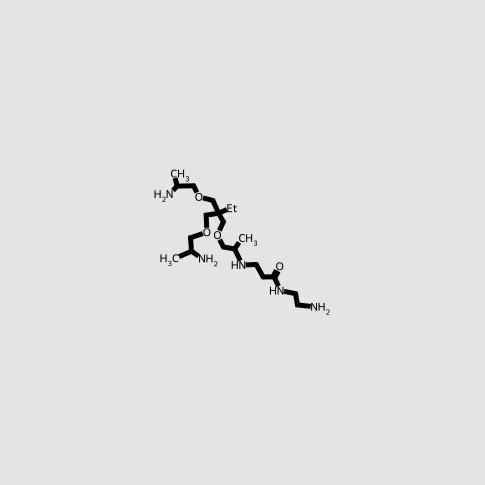 CCC(COCC(C)N)(COCC(C)N)COCC(C)NCCC(=O)NCCN